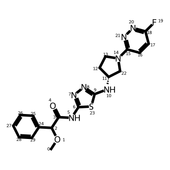 COC(C(=O)Nc1nnc(N[C@@H]2CCN(c3ccc(F)nn3)C2)s1)c1ccccc1